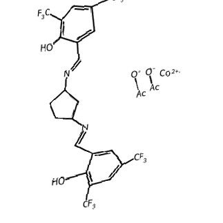 CC(=O)[O-].CC(=O)[O-].Oc1c(C=NC2CCC(N=Cc3cc(C(F)(F)F)cc(C(F)(F)F)c3O)C2)cc(C(F)(F)F)cc1C(F)(F)F.[Co+2]